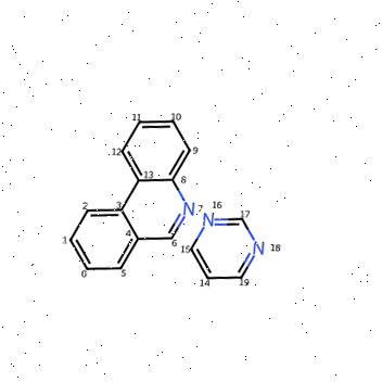 c1ccc2c(c1)cnc1ccccc12.c1cncnc1